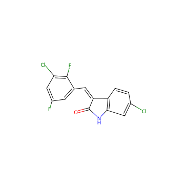 O=C1Nc2cc(Cl)ccc2C1=Cc1cc(F)cc(Cl)c1F